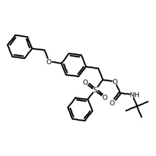 CC(C)(C)NC(=O)OC(Cc1ccc(OCc2ccccc2)cc1)S(=O)(=O)c1ccccc1